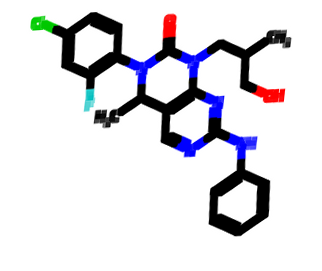 CC(CO)CN1C(=O)N(c2ccc(Cl)cc2F)C(C)c2cnc(Nc3ccccc3)nc21